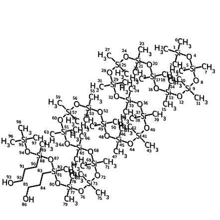 C[Si](C)(C)O[Si](C)(C)O[Si](C)(C)O[Si](C)(C)O[Si](C)(C)O[Si](C)(C)O[Si](C)(C)O[Si](C)(C)O[Si](C)(C)O[Si](C)(C)O[Si](C)(C)O[Si](C)(C)O[Si](C)(C)O[Si](C)(C)O[Si](C)(C)O[Si](C)(C)O[Si](C)(C)O[Si](C)(C)O[Si](C)(C)O[Si](C)(C)O[Si](C)(CCCO)O[Si](C)(CCCO)O[Si](C)(C)C